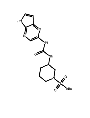 CCCCS(=O)(=O)N1CCCC(NC(=O)Nc2cnc3[nH]ccc3n2)C1